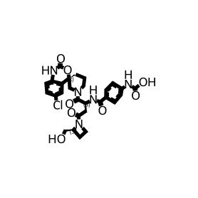 O=C(O)Nc1ccc(C(=O)N[C@@H](CC(=O)N2CC[C@H]2CO)C(=O)N2CCC[C@@]3(C2)OC(=O)Nc2ccc(Cl)cc23)cc1